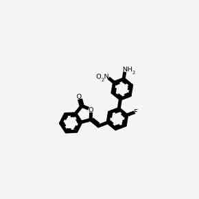 Nc1ccc(-c2cc(C=C3OC(=O)c4ccccc43)ccc2F)cc1[N+](=O)[O-]